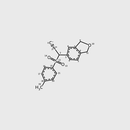 [C-]#[N+]C(c1ccc2c(c1)COC2)S(=O)(=O)c1ccc(C)cc1